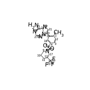 Cc1ccc(S(=O)(=O)N2CCCC(C(F)(F)F)C2)cc1-c1cnc2c(N)ncnn12